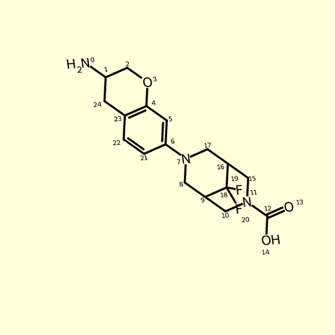 NC1COc2cc(N3CC4CN(C(=O)O)CC(C3)C4(F)F)ccc2C1